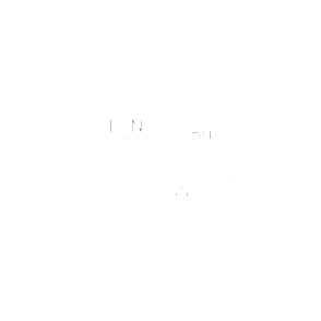 C=CCOCC.CCCCN